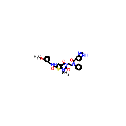 COc1cccc(CNC(=O)c2cc3c(=O)n(CCN(C(=O)c4ccc5[nH]cnc5c4)c4ccccc4)c(=O)n(C)c3s2)c1